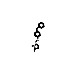 O=C1CC[C@H](COc2ccc(Cc3ccccc3)cc2)N1